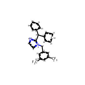 FC(F)(F)c1cc(Cn2ccnc2C(c2ccccc2)c2ccccc2)cc(C(F)(F)F)c1